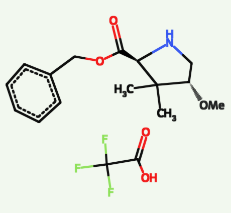 CO[C@H]1CN[C@H](C(=O)OCc2ccccc2)C1(C)C.O=C(O)C(F)(F)F